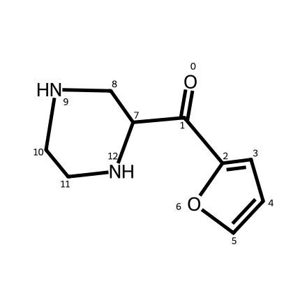 O=C(c1ccco1)C1CNCCN1